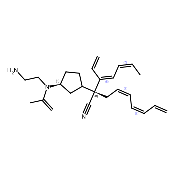 C=C/C=C\C=C/C[C@](C#N)(/C(C=C)=C/C=C\C)C1CC[C@H](N(CCN)C(=C)C)C1